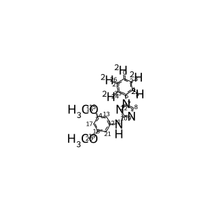 [2H]c1c([2H])c([2H])c(-n2cnc(Nc3cc(OC)cc(OC)c3)n2)c([2H])c1[2H]